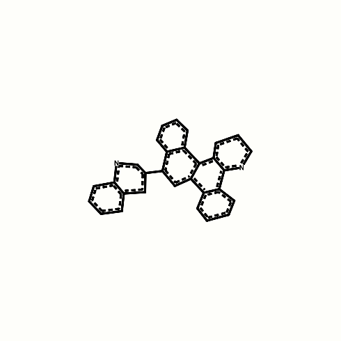 c1ccc2ncc(-c3cc4c5ccccc5c5ncccc5c4c4ccccc34)cc2c1